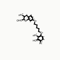 CCCc1c(OCCCCCOc2ccc3c(c2)OC(C=O)C(CCC)C3)ccc(C(C)=O)c1O